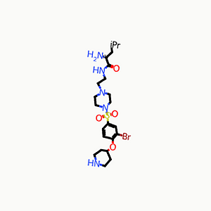 CC(C)C[C@H](N)C(=O)NCCN1CCN(S(=O)(=O)c2ccc(OC3CCNCC3)c(Br)c2)CC1